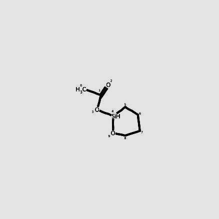 CC(=O)O[SiH]1CCCCO1